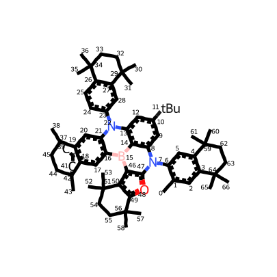 Cc1cc2c(cc1N1c3cc(C(C)(C)C)cc4c3B(c3cc5c(cc3N4c3ccc4c(c3)C(C)(C)CCC4(C)C)C3(C)CCCC5(C)CC3)c3c1oc1c3C(C)(C)CCC1(C)C)C(C)(C)CCC2(C)C